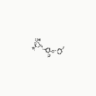 COc1cc(CCN(CCO)CC(=O)N(C)C)ccc1OCc1cccc(F)c1